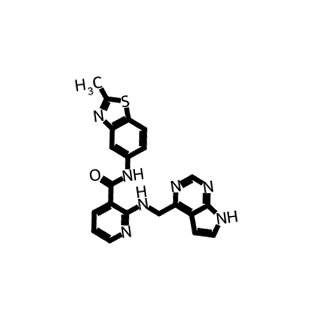 Cc1nc2cc(NC(=O)c3cccnc3NCc3ncnc4[nH]ccc34)ccc2s1